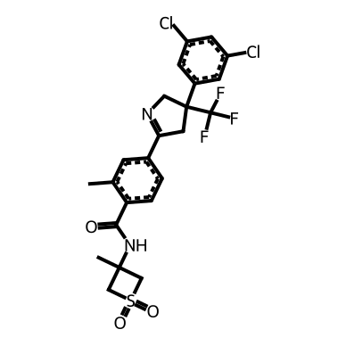 Cc1cc(C2=NCC(c3cc(Cl)cc(Cl)c3)(C(F)(F)F)C2)ccc1C(=O)NC1(C)CS(=O)(=O)C1